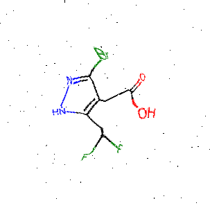 O=C(O)c1c(Br)n[nH]c1C(F)F